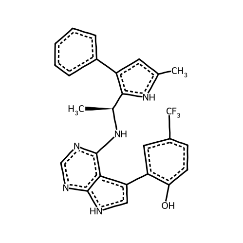 Cc1cc(-c2ccccc2)c([C@H](C)Nc2ncnc3[nH]cc(-c4cc(C(F)(F)F)ccc4O)c23)[nH]1